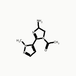 CC(=O)N1CC(N)N=C1c1ccnn1C